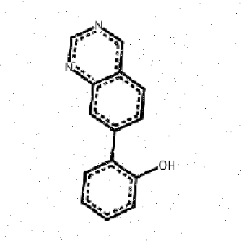 Oc1ccccc1-c1ccc2cncnc2c1